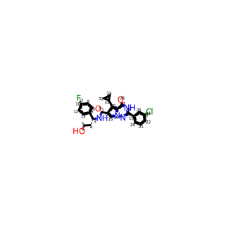 O=C(N[C@H](CCO)c1ccc(F)cc1)c1cn2nc(-c3cccc(Cl)c3)[nH]c(=O)c2c1C1CC1